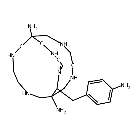 Nc1ccc(CC2NCCNCC3(N)CNCCNCC2(N)CNCCNC3)cc1